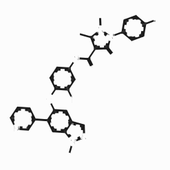 Cc1c(C(=O)Nc2ccc(Oc3cc4cnn(C)c4cc3-c3cccnc3)c(F)c2)c(=O)n(-c2ccc(F)cc2)n1C